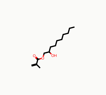 C=C(C)C(=O)OCC(O)CCCCCCCC